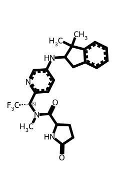 CN(C(=O)C1CCC(=O)N1)[C@@H](c1ccc(NC2Cc3ccccc3C2(C)C)cn1)C(F)(F)F